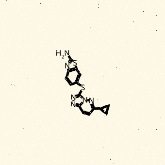 Nc1nc2ccc(Sc3nnc4ccc(C5CC5)nn34)cc2s1